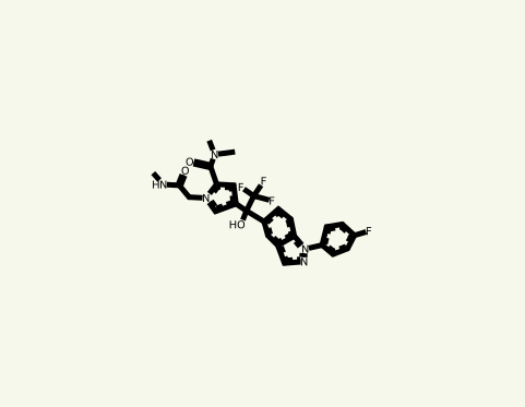 CNC(=O)Cn1cc(C(O)(c2ccc3c(cnn3-c3ccc(F)cc3)c2)C(F)(F)F)cc1C(=O)N(C)C